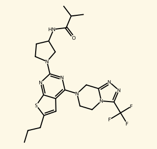 CCCc1cc2c(N3CCn4c(nnc4C(F)(F)F)C3)nc(N3CCC(NC(=O)C(C)C)C3)nc2s1